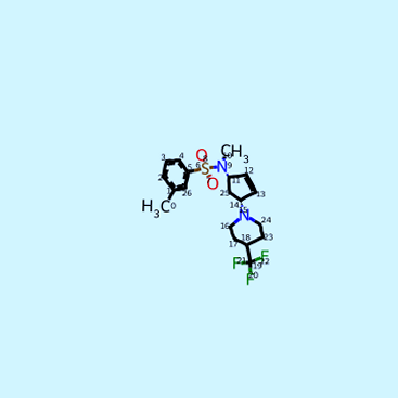 Cc1cccc(S(=O)(=O)N(C)[C@@H]2C=C[C@H](N3CCC(C(F)(F)F)CC3)C2)c1